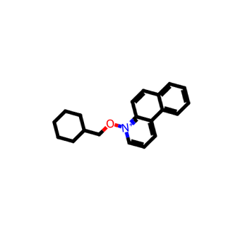 c1ccc2c(c1)ccc1c2ccc[n+]1OCC1CCCCC1